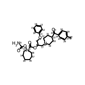 NC(=O)O[N+]1(C(=O)OC(COc2ccccc2)CN2CCC(C(=O)c3ccc(F)cc3)CC2)CCCCCC1